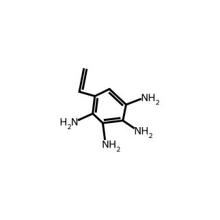 C=Cc1cc(N)c(N)c(N)c1N